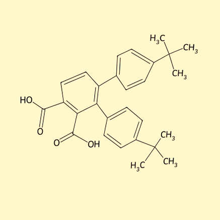 CC(C)(C)c1ccc(-c2ccc(C(=O)O)c(C(=O)O)c2-c2ccc(C(C)(C)C)cc2)cc1